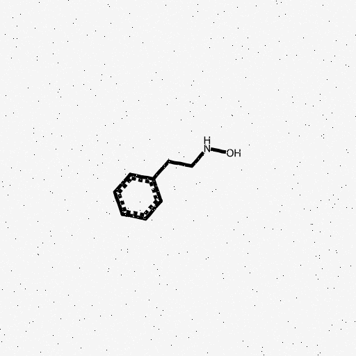 ONC[CH]c1ccccc1